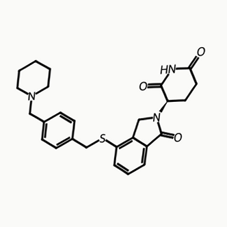 O=C1CC[C@@H](N2Cc3c(SCc4ccc(CN5CCCCC5)cc4)cccc3C2=O)C(=O)N1